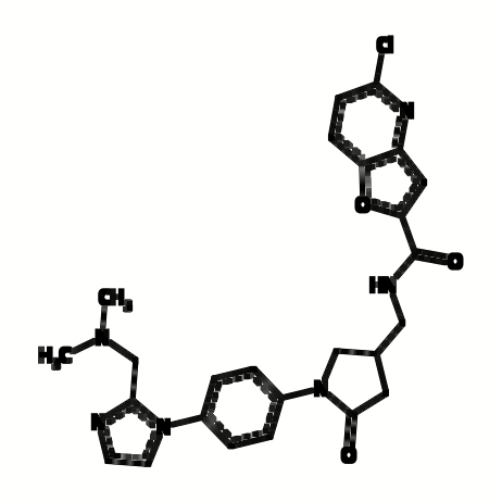 CN(C)Cc1nccn1-c1ccc(N2CC(CNC(=O)c3cc4nc(Cl)ccc4o3)CC2=O)cc1